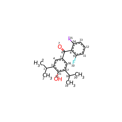 CC(C)c1cc(C(=O)c2c(F)cccc2I)cc(C(C)C)c1O